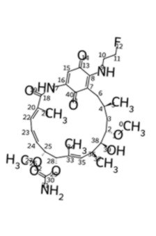 CO[C@H]1C[C@H](C)CC2=C(NCCF)C(=O)C=C(NC(=O)/C(C)=C/C=C\[C@@H](OC)[C@@H](OC(N)=O)/C(C)=C/[C@H](C)[C@@H]1O)C2=O